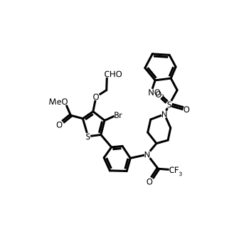 COC(=O)c1sc(-c2cccc(N(C(=O)C(F)(F)F)C3CCN(S(=O)(=O)Cc4ccccc4[N+](=O)[O-])CC3)c2)c(Br)c1OCC=O